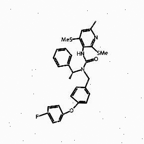 CSc1cc(C)nc(SC)c1NC(=O)N(Cc1ccc(Oc2ccc(F)cc2)cc1)[C@@H](C)c1ccccc1